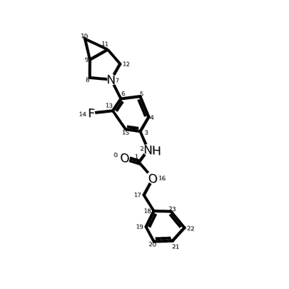 O=C(Nc1ccc(N2CC3CC3C2)c(F)c1)OCc1ccccc1